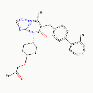 CCCc1c(Cc2ccc(-c3ccccc3C#N)cc2)c(=O)n([C@H]2CC[C@H](OCC(=O)CC)CC2)c2ncnn12